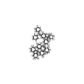 c1ccc(N(c2ccccc2)c2ccc(C3(c4ccc(N(c5ccccc5)c5cccc6c5-c5ccccc5C6(c5ccccc5)c5ccccc5)cc4)CC4CCC3C4)cc2)cc1